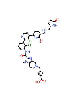 COc1nc(-c2ccnc(-c3cccc(NC(=O)c4nc5c(n4C)CCN(CC46CC(C(=O)O)(C4)C6)C5)c3Cl)c2Cl)ccc1CNCC1CCC(=O)N1